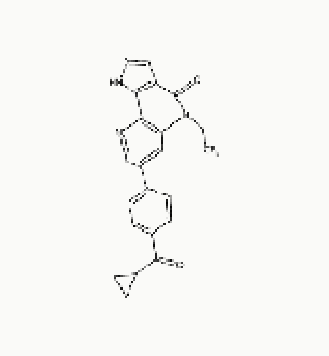 O=C(c1ccc(-c2cnc3c4[nH]ncc4c(=O)n(CC(F)(F)F)c3c2)cc1)C1CC1